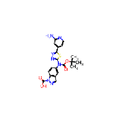 CC(C)(C)OC(=O)N(c1ccc2c(cnn2C(=O)O)c1)c1nnc(-c2ccnc(N)c2)s1